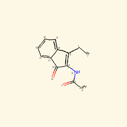 CCCC(=O)NC1=C(CC(C)C)c2ccccc2C1=O